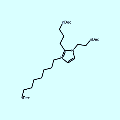 CCCCCCCCCCCCCCCCC[n+]1ccn(CCCCCCCCCCCC)c1CCCCCCCCCCCCC